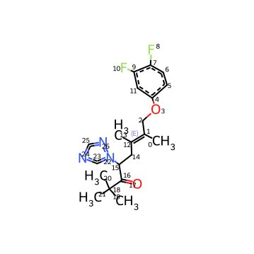 C/C(COc1ccc(F)c(F)c1)=C(/C)CC(C(=O)C(C)(C)C)n1cncn1